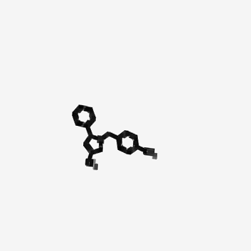 Cc1ccc(CN2CC(C(F)(F)F)=CC2c2ccccc2)cc1